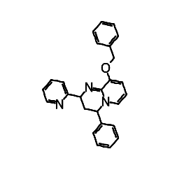 C1=CN2C(=NC(c3ccccn3)CC2c2ccccc2)C(OCc2ccccc2)=C1